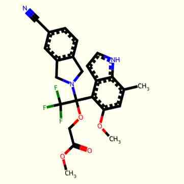 COC(=O)COC(c1c(OC)cc(C)c2[nH]ccc12)(N1Cc2ccc(C#N)cc2C1)C(F)(F)F